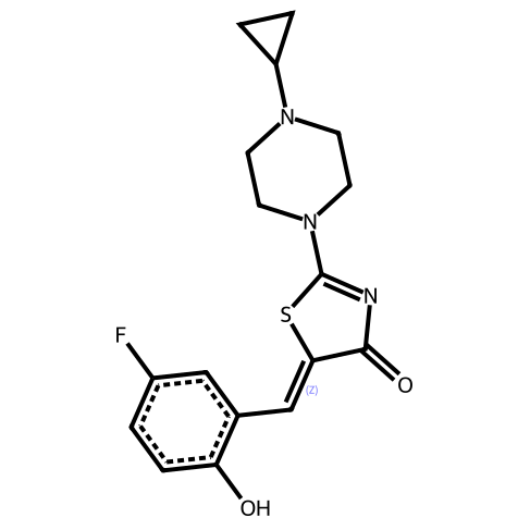 O=C1N=C(N2CCN(C3CC3)CC2)S/C1=C\c1cc(F)ccc1O